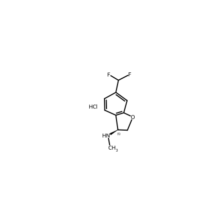 CN[C@@H]1COc2cc(C(F)F)ccc21.Cl